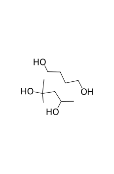 CC(O)CC(C)(C)O.OCCCCO